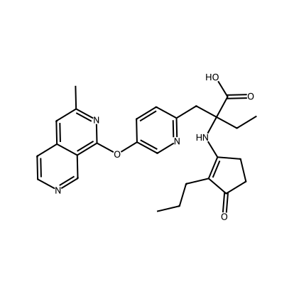 CCCC1=C(NC(CC)(Cc2ccc(Oc3nc(C)cc4ccncc34)cn2)C(=O)O)CCC1=O